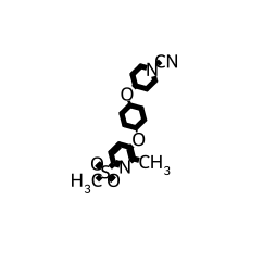 Cc1nc(S(C)(=O)=O)ccc1O[C@H]1CC[C@H](OC2CCN(C#N)CC2)CC1